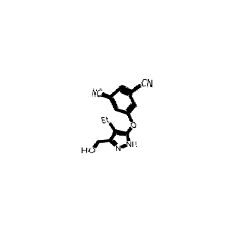 CCc1c(CO)n[nH]c1Oc1cc(C#N)cc(C#N)c1